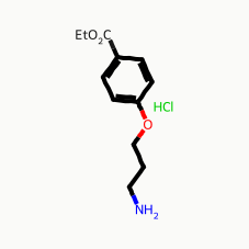 CCOC(=O)c1ccc(OCCCN)cc1.Cl